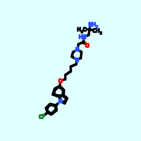 CC(C)(N)CNC(=O)CN1CCN(CCCCCOc2ccc3c(ccn3-c3ccc(Cl)cc3)c2)CC1